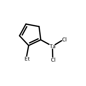 CCC1=[C]([Ta]([Cl])[Cl])CC=C1